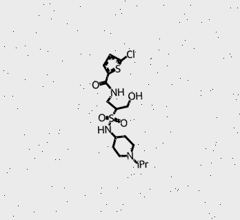 CC(C)N1CCC(NS(=O)(=O)C(CO)CNC(=O)c2ccc(Cl)s2)CC1